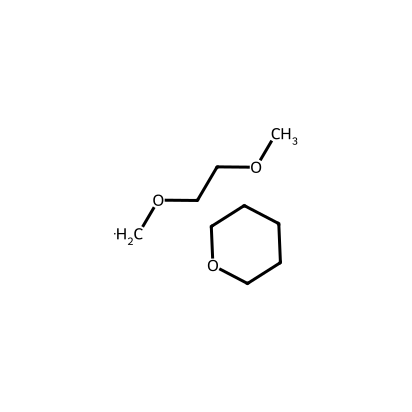 C1CCOCC1.[CH2]OCCOC